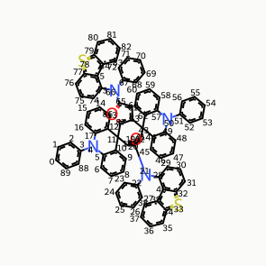 c1ccc(N2c3ccccc3C3(c4ccccc42)c2cc(N(c4ccccc4)c4cccc5sc6ccccc6c45)oc2C2(c4ccccc4N(c4ccccc4)c4ccccc42)c2cc(N(c4ccccc4)c4cccc5sc6ccccc6c45)oc23)cc1